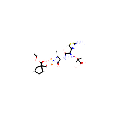 CCOC(=O)C1(COS(=O)(=O)N2C(=O)[C@@H](NC(=O)/C(=N/OC(C)(C)C(=O)O)c3csc(N)n3)[C@@H]2C)CCCC1